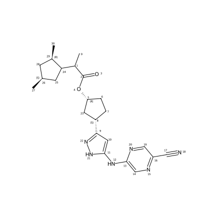 CC(C(=O)O[C@@H]1CC[C@H](c2cc(Nc3cnc(C#N)cn3)[nH]n2)C1)C1C[C@@H](C)C[C@H]1C